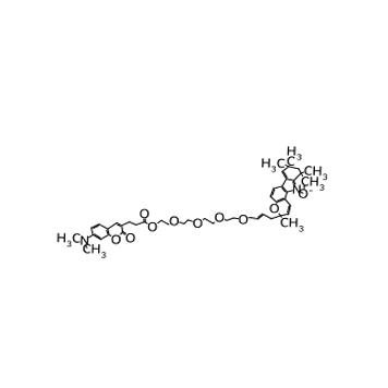 CN(C)c1ccc2cc(CCC(=O)OCCOCCOCCOCCOC/C=C/CC3(C)C=Cc4c(ccc5c4[N+]([O-])=C4C5=CC(C)(C)CC4(C)C)O3)c(=O)oc2c1